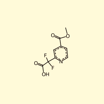 COC(=O)c1ccnc(C(F)(F)C(=O)O)c1